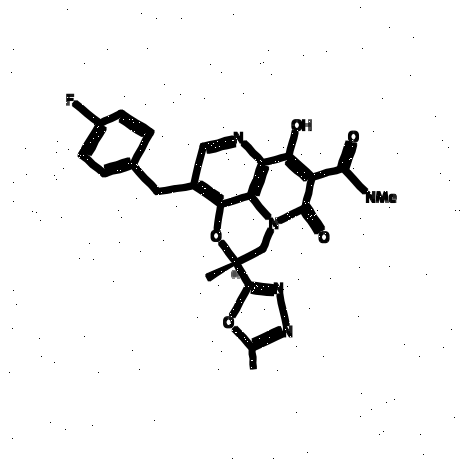 CNC(=O)c1c(O)c2ncc(Cc3ccc(F)cc3)c3c2n(c1=O)C[C@](C)(c1nnc(C)o1)O3